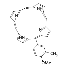 COc1ccc(-c2c3nc(cc4ccc(cc5nc(cc6ccc2[nH]6)C=C5)[nH]4)C=C3)cc1C